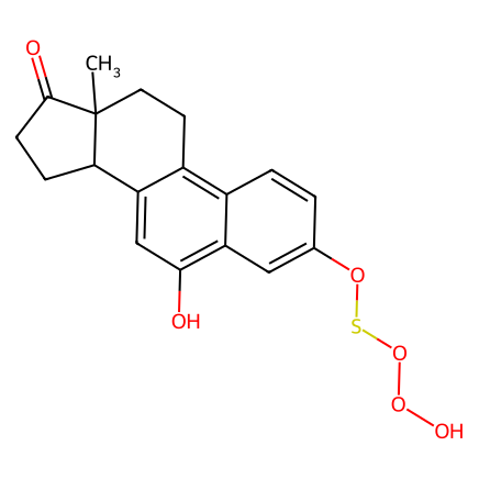 CC12CCc3c(cc(O)c4cc(OSOOO)ccc34)C1CCC2=O